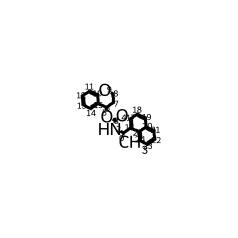 C[C@@H](NC(=O)OC1CCOc2ccccc21)c1cccc2ccccc12